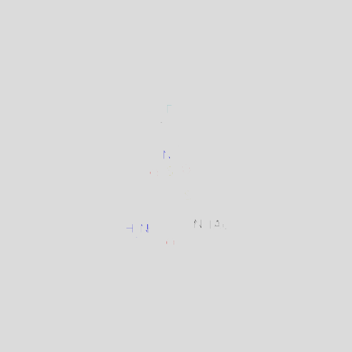 CC(=O)Nc1sc(S(=O)(=O)N2CCC(F)(F)CC2)cc1C(N)=O